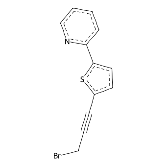 BrCC#Cc1ccc(-c2ccccn2)s1